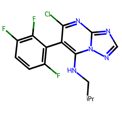 CC(C)CNc1c(-c2c(F)ccc(F)c2F)c(Cl)nc2ncnn12